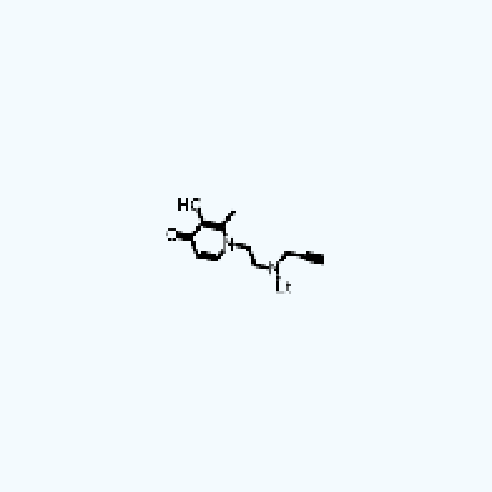 C#CCN(CC)CCn1ccc(=O)c(O)c1C